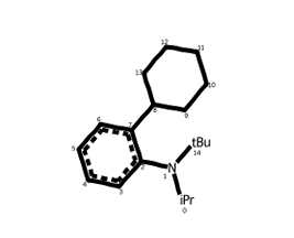 CC(C)N(c1ccccc1C1CCCCC1)C(C)(C)C